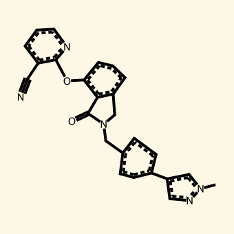 Cn1cc(-c2ccc(CN3Cc4cccc(Oc5ncccc5C#N)c4C3=O)cc2)cn1